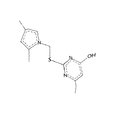 Cc1cc(C)n(CSc2nc(C)cc(O)n2)c1